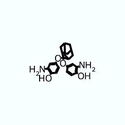 Nc1cc(OC2(Oc3ccc(O)c(N)c3)C3CC4CC(C3)CC2C4)ccc1O